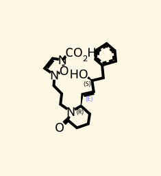 O=C(O)N1C=CN(CCCN2C(=O)CCC[C@@H]2/C=C/[C@@H](O)Cc2ccccc2)O1